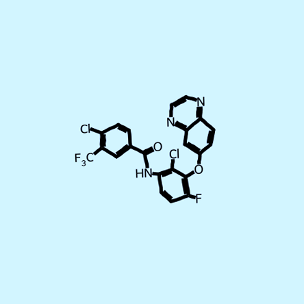 O=C(Nc1ccc(F)c(Oc2ccc3nccnc3c2)c1Cl)c1ccc(Cl)c(C(F)(F)F)c1